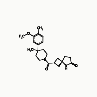 Cc1ccc(C2(C)CCN(C(=O)[C@H]3C[C@]4(CCC(=O)N4)C3)CC2)cc1OC(F)(F)F